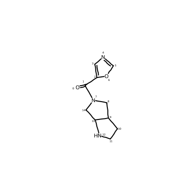 O=C(c1cnco1)N1CC2CCNC2C1